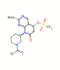 CCC(=O)N1CCC[C@@H](n2c(=O)cc(OS(=O)(=O)C(F)(F)F)c3cnc(SC)nc32)C1